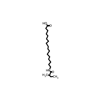 CCC(C)C(=O)NCCCCCCCCCCCCCCCCC(=O)O